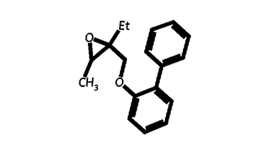 CCC1(COc2ccccc2-c2ccccc2)OC1C